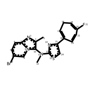 Cc1nc2ccc(Br)cn2c1N(C)c1nc(C2=CCC=C(F)C=C2)cs1